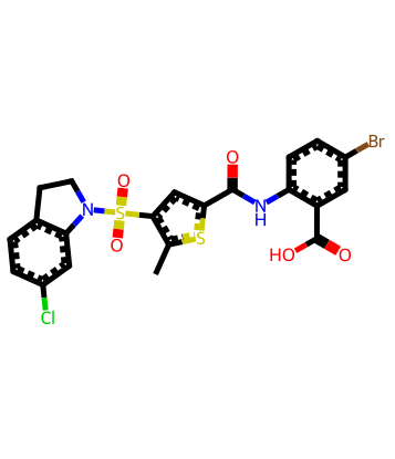 Cc1sc(C(=O)Nc2ccc(Br)cc2C(=O)O)cc1S(=O)(=O)N1CCc2ccc(Cl)cc21